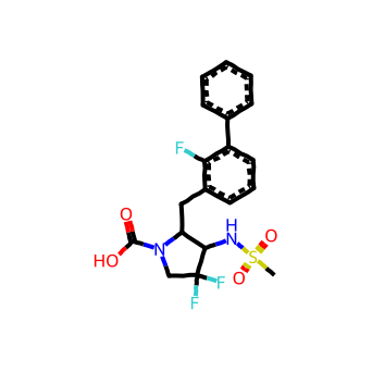 CS(=O)(=O)NC1C(Cc2cccc(-c3ccccc3)c2F)N(C(=O)O)CC1(F)F